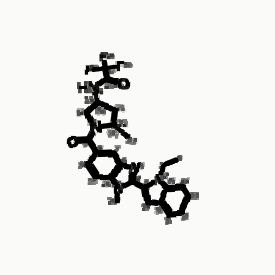 CCn1c(-c2nc3cc(C(=O)N4C[C@@H](NC(=O)C(F)(F)F)C[C@H]4C)ccc3n2C)cc2ccccc21